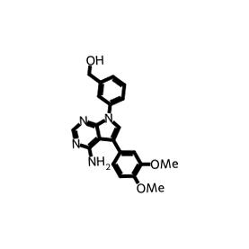 COc1ccc(-c2cn(-c3cccc(CO)c3)c3ncnc(N)c23)cc1OC